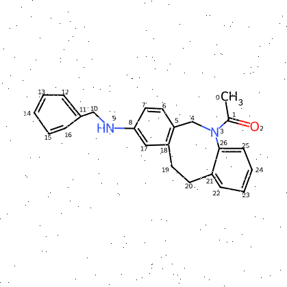 CC(=O)N1Cc2ccc(NCc3ccccc3)cc2CCc2ccccc21